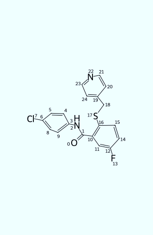 O=C(Nc1ccc(Cl)cc1)c1cc(F)ccc1SCc1ccncc1